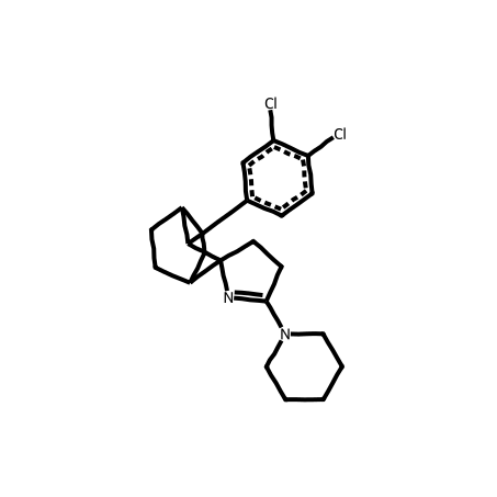 Clc1ccc(C2C3CCC(CC3)C23CCC(N2CCCCC2)=N3)cc1Cl